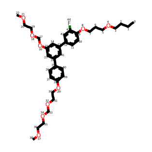 CCCCOCCCOc1ccc(-c2cc(OCOCCOC)cc(-c3ccc(OCCOCOCCOC)cc3)c2)cc1F